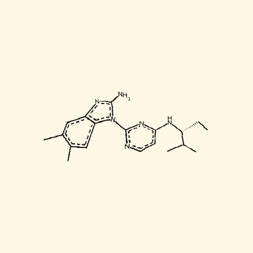 CC[C@@H](Nc1ccnc(-n2c(N)nc3cc(C)c(C)cc32)n1)C(C)C